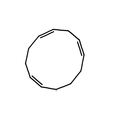 [CH]1/C=C\CC/C=C\C/C=C\CC1